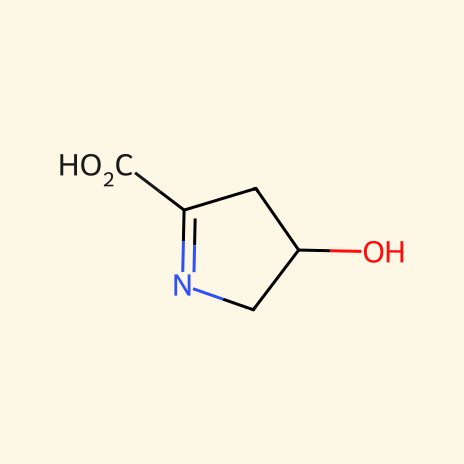 O=C(O)C1=NCC(O)C1